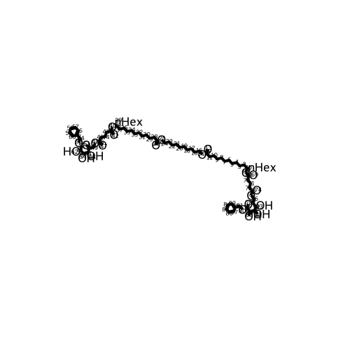 CCCCCC[C@H](CCCCCCCCCCC(=O)OCCCCCCCCCCOC(=O)CCCCCCCCCC[C@@H](CCCCCC)OC(=O)CCCC(=O)OCC1O[C@@H](OCc2ccccc2)C(O)[C@@H](O)[C@H]1O)OC(=O)CCCC(=O)OCC1O[C@@H](OCc2ccccc2)C(O)C(O)[C@H]1O